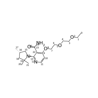 CCOCCOCCOc1ccnc(N2C[C@@H](C)CC2(C)C)c1C(N)=O